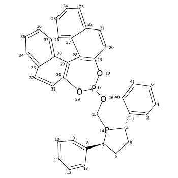 c1ccc([C@@H]2CC[C@@H](c3ccccc3)P2COp2oc3ccc4ccccc4c3c3c(ccc4ccccc43)o2)cc1